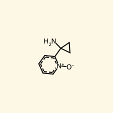 NC1(c2cccc[n+]2[O-])CC1